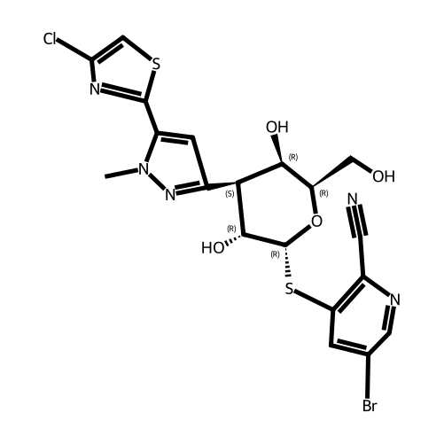 Cn1nc([C@@H]2[C@@H](O)[C@@H](Sc3cc(Br)cnc3C#N)O[C@H](CO)[C@@H]2O)cc1-c1nc(Cl)cs1